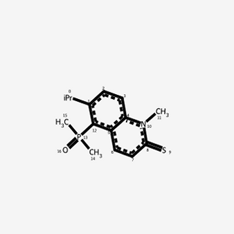 CC(C)c1ccc2c(ccc(=S)n2C)c1P(C)(C)=O